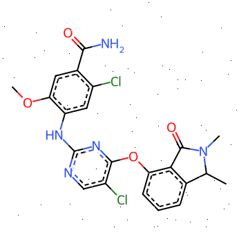 COc1cc(C(N)=O)c(Cl)cc1Nc1ncc(Cl)c(Oc2cccc3c2C(=O)N(C)C3C)n1